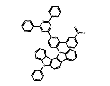 O=[N+]([O-])c1cccc(-c2cc(-c3nc(-c4ccccc4)nc(-c4ccccc4)n3)ccc2-n2c3ccccc3c3ccc4c(c5ccccc5n4-c4ccccc4)c32)c1